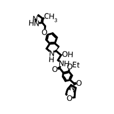 CCOc1cc(C(=O)N2C3CCC2COC3)ccc1C(=O)NC[C@@H](O)[C@@H]1Cc2ccc(OCc3[nH]ncc3C)cc2CN1